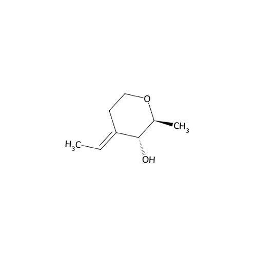 C/C=C1\CCO[C@@H](C)[C@@H]1O